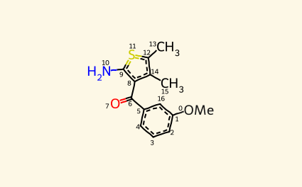 COc1cccc(C(=O)c2c(N)sc(C)c2C)c1